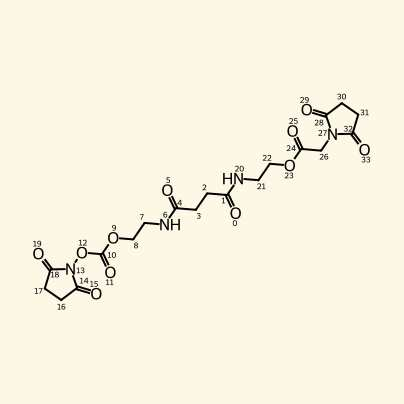 O=C(CCC(=O)NCCOC(=O)ON1C(=O)CCC1=O)NCCOC(=O)CN1C(=O)CCC1=O